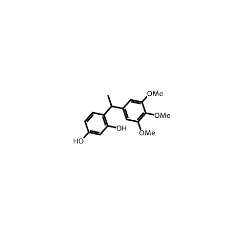 COc1cc(C(C)c2ccc(O)cc2O)cc(OC)c1OC